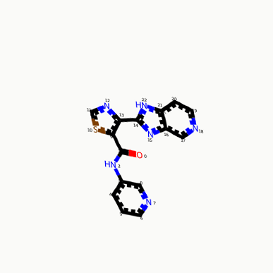 O=C(Nc1cccnc1)c1scnc1-c1nc2cnccc2[nH]1